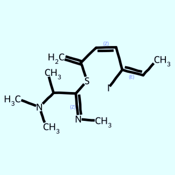 C=C(/C=C\C(I)=C/C)S/C(=N\C)C(C)N(C)C